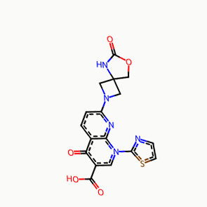 O=C1NC2(CO1)CN(c1ccc3c(=O)c(C(=O)O)cn(-c4nccs4)c3n1)C2